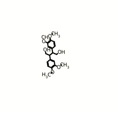 COc1ccc(C(CO)C(CO)c2ccc(OC)c(OC)c2)cc1OC